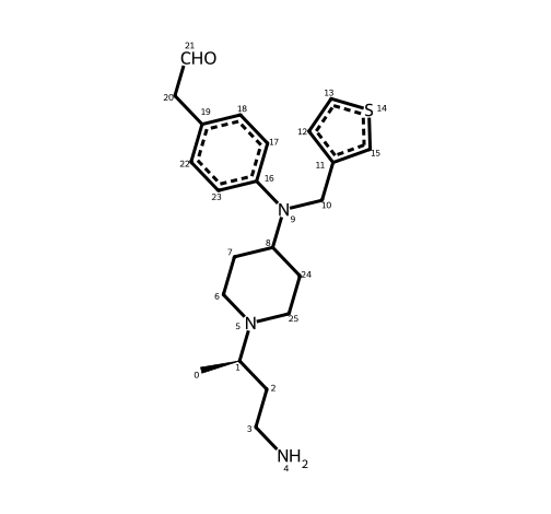 C[C@H](CCN)N1CCC(N(Cc2ccsc2)c2ccc(CC=O)cc2)CC1